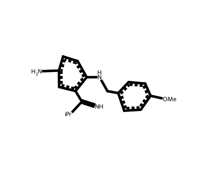 COc1ccc(CNc2ccc(N)cc2C(=N)C(C)C)cc1